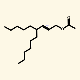 CCCCCCC(/C=C/COC(C)=O)CCCCC